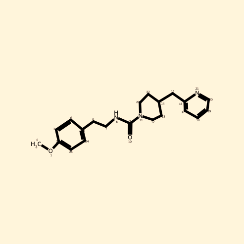 COc1ccc(CCNC(=O)N2CCC(Cc3ccccn3)CC2)cc1